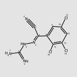 N#C/C(=N\NC(=N)N)c1cc(Cl)cc(Cl)c1Cl